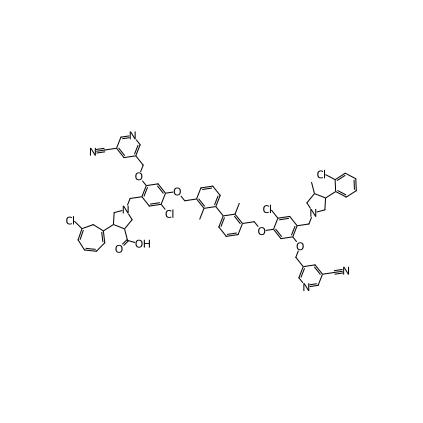 Cc1c(COc2cc(OCc3cncc(C#N)c3)c(CN3CC(C(=O)O)C(C4=CC=CC=C(Cl)C4)C3)cc2Cl)cccc1-c1cccc(COc2cc(OCc3cncc(C#N)c3)c(CN3CC(C)C(c4ccccc4Cl)C3)cc2Cl)c1C